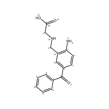 Nc1ccc(C(=O)c2ccccc2)cc1CNCC(=O)O